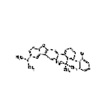 CC(C)c1ccc2oc3cc(-c4ccc5oc6ccccc6c5c4C(C)(C)C)ccc3c2c1